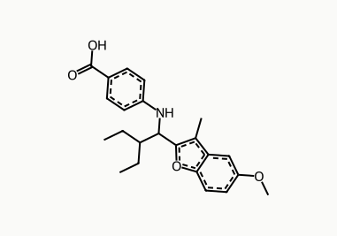 CCC(CC)C(Nc1ccc(C(=O)O)cc1)c1oc2ccc(OC)cc2c1C